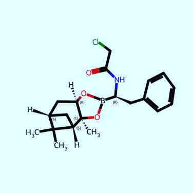 CC1(C)[C@@H]2C[C@H]3OB([C@H](Cc4ccccc4)NC(=O)CCl)O[C@@]3(C)[C@H]1C2